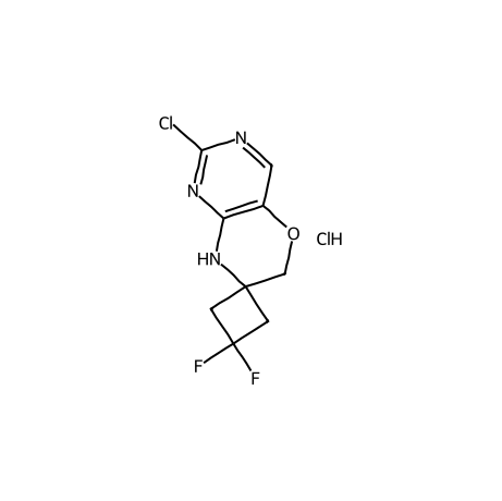 Cl.FC1(F)CC2(COc3cnc(Cl)nc3N2)C1